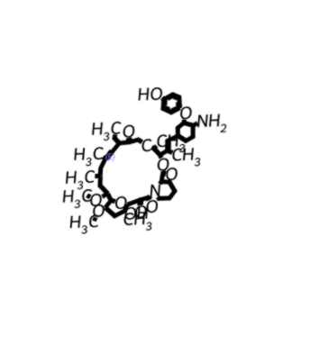 CCC1/C=C(\C)CC(C)CC(OC)C2OC(O)(C(=O)C(=O)N3CCCCC3C(=O)OC(C(C)=CC3CCC(N)C(Oc4ccc(O)cc4)C3)C(C)CCC1=O)C(C)CC2OC